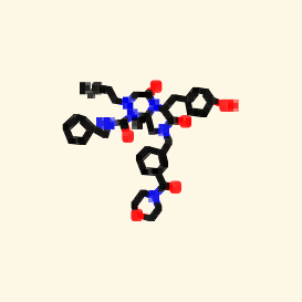 C=CCN1CC(=O)N2C(Cc3ccc(O)cc3)C(=O)N(Cc3cccc(C(=O)N4CCOCC4)c3)C[C@@H]2N1C(=O)NCc1ccccc1